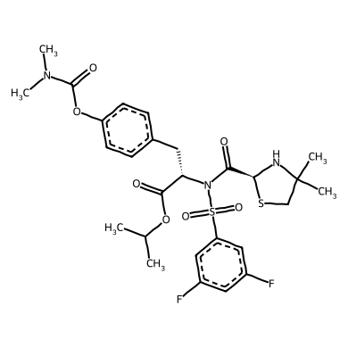 CC(C)OC(=O)[C@H](Cc1ccc(OC(=O)N(C)C)cc1)N(C(=O)[C@H]1NC(C)(C)CS1)S(=O)(=O)c1cc(F)cc(F)c1